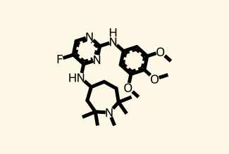 COc1cc(Nc2ncc(F)c(NC3CCC(C)(C)N(C)C(C)(C)C3)n2)cc(OC)c1OC